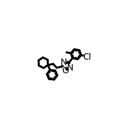 Cc1ccc(Cl)cc1-c1noc(CCC2(c3ccccc3)CCCCC2)n1